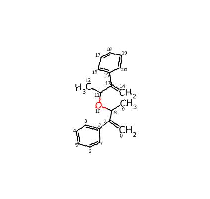 C=C(c1ccccc1)C(C)OC(C)C(=C)c1ccccc1